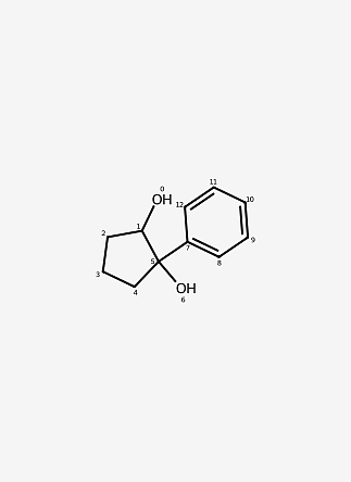 OC1CCCC1(O)c1ccccc1